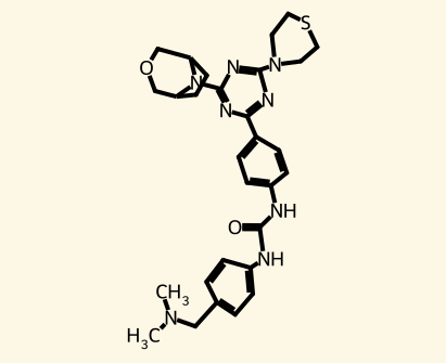 CN(C)Cc1ccc(NC(=O)Nc2ccc(-c3nc(N4CCSCC4)nc(N4C5CCC4COC5)n3)cc2)cc1